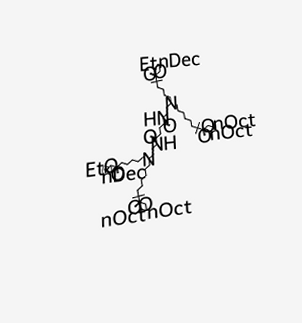 CCCCCCCCCCC(CC)OC(=O)C(C)(C)CCCCN(CCCCCCC(C)(C)C(=O)OC(CCCCCCCC)CCCCCCCC)CCNC(=O)CCC(=O)NCCN(CCCCCCC(C)(C)C(=O)OC(CCCCCCCC)CCCCCCCC)CCCCCC(=O)O[C@H](CC)CCCCCCCCCC